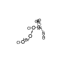 CS(=O)(=O)N1CCc2c(c(-c3ccc(Cl)c(C#Cc4ccc(CNCc5ccc(Cl)cc5)cc4)c3)nn2CCCN2CC3(COC3)C2)C1